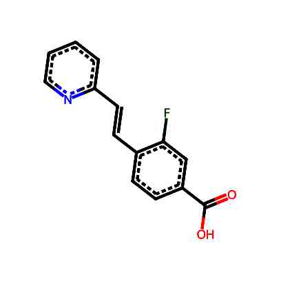 O=C(O)c1ccc(C=Cc2ccccn2)c(F)c1